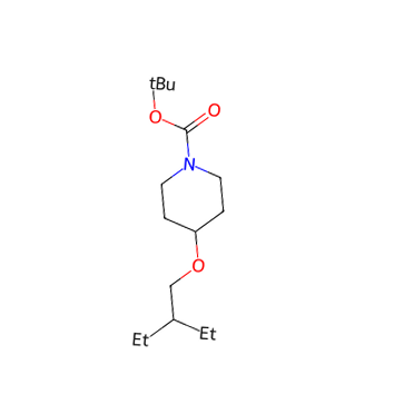 CCC(CC)COC1CCN(C(=O)OC(C)(C)C)CC1